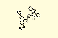 COc1ccc2nc(-c3ccccc3)cc(C(=O)N3CC[C@H](NC(=O)[C@@H]4CCCCN4c4nc5ccccc5o4)C3)c2c1